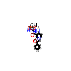 CS(=O)(=O)NNC(=O)c1ccc[n+](CC(=O)c2ccccc2)c1